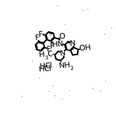 C[C@@H]1C[C@H](N)CN(c2c(NC(=O)c3ccc(F)c(-c4c(F)cccc4F)c3F)cnc3c2CCC3O)C1.Cl.Cl